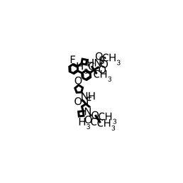 CC(C)(C)OC(=O)N1C[C@](F)(C(=O)N[C@@H]2CC[C@@H](Oc3ccc(C(C)(C)C(=O)NS(C)(=O)=O)cc3-c3cccc(F)c3C3CCC3)C2)CC12CCC2